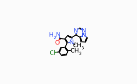 Cc1ccc(Cl)cc1-c1c(C(N)=O)cc(-c2ncnn3cccc23)n1C